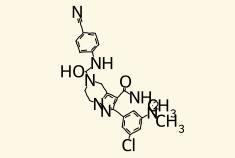 CN(C)c1cc(Cl)cc(-c2nn3c(c2C(N)=O)CN(C(O)Nc2ccc(C#N)cc2)CC3)c1